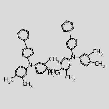 Cc1ccc(N(c2ccc(-c3ccccc3)cc2)c2ccc(C)c(C)c2)cc1C.Cc1ccc(N(c2ccc(-c3ccccc3)cc2)c2ccc(C)c(C)c2)cc1C